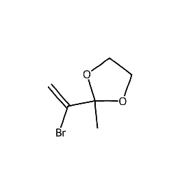 C=C(Br)C1(C)OCCO1